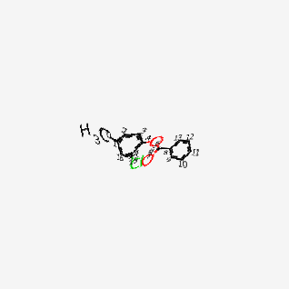 Cc1ccc(OC(=O)c2ccccc2)c(Cl)c1